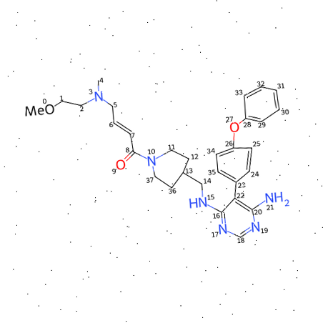 COCCN(C)CC=CC(=O)N1CCC(CNc2ncnc(N)c2-c2ccc(Oc3ccccc3)cc2)CC1